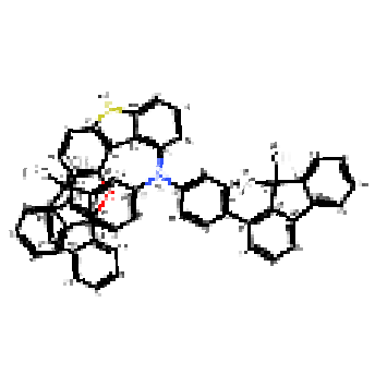 CC1(C)c2ccccc2-c2ccc(N(c3ccc(-c4cccc5c4C(C)(C)c4ccccc4-5)cc3)c3cccc4sc5ccc6c7ccc8ccccc8c7oc6c5c34)cc21